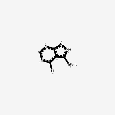 CCCCCc1[nH]nc2ncnc(Cl)c12